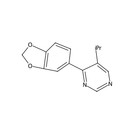 CC(C)c1cncnc1-c1ccc2c(c1)OCO2